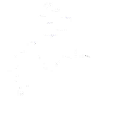 COC(=O)COc1cccc(CCC[N+]2(CCCc3cccc(OCC(=O)OC)c3)CCCC(NC(=O)c3nc(Cl)c(N)nc3N)C2)c1